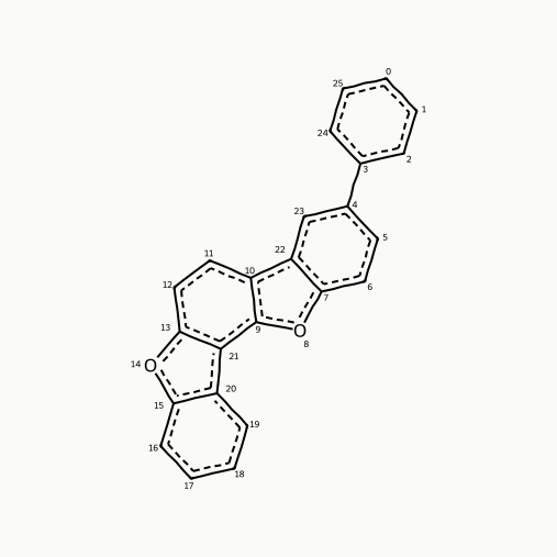 c1ccc(-c2ccc3oc4c(ccc5oc6ccccc6c54)c3c2)cc1